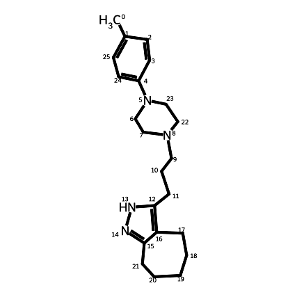 Cc1ccc(N2CCN(CCCc3[nH]nc4c3CCCCC4)CC2)cc1